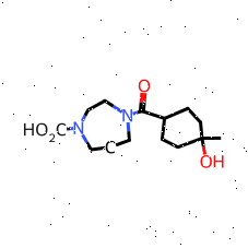 CC1(O)CCC(C(=O)N2CCCN(C(=O)O)CC2)CC1